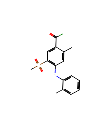 Cc1cc(Nc2ccccc2C(F)(F)F)c(S(C)(=O)=O)cc1C(=O)Cl